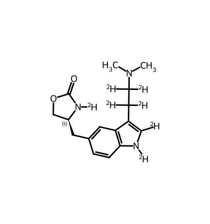 [2H]c1c(C([2H])([2H])C([2H])([2H])N(C)C)c2cc(C[C@H]3COC(=O)N3[2H])ccc2n1[2H]